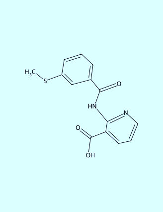 CSc1cccc(C(=O)Nc2ncccc2C(=O)O)c1